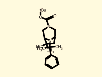 CC(C)(C)OC(=O)N1CC2CC(C)(O)C(C1)N2C(C)(C)c1ccccc1